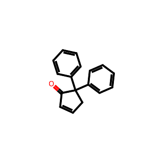 O=C1C=CCC1(c1ccccc1)c1ccccc1